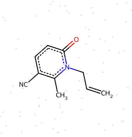 C=CCn1c(C)c(C#N)ccc1=O